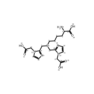 N[C@H](CCCCN(Cc1nccn1CC(=O)O)Cc1nccn1CC(=O)O)C(=O)O